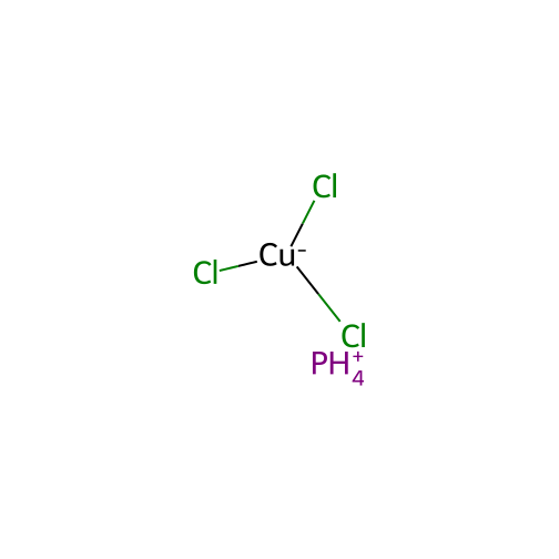 [Cl][Cu-]([Cl])[Cl].[PH4+]